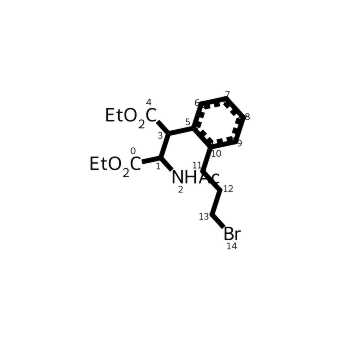 CCOC(=O)C(NC(C)=O)C(C(=O)OCC)c1ccccc1CCCBr